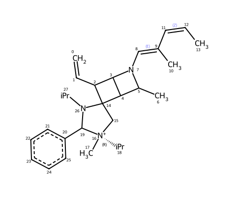 C=CC1C2C(C(C)N2/C=C(C)/C=C\C)C12C[N@+](C)(C(C)C)C(c1ccccc1)N2C(C)C